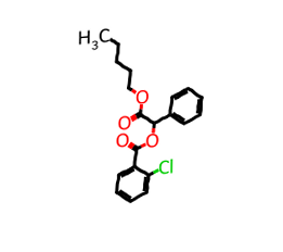 CCCCCOC(=O)C(OC(=O)c1ccccc1Cl)c1ccccc1